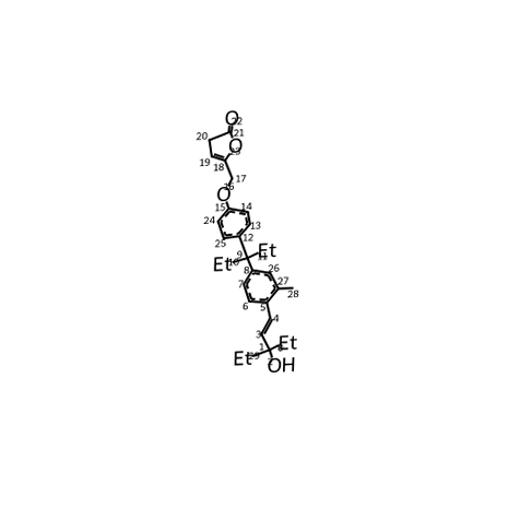 CCC(O)(C=Cc1ccc(C(CC)(CC)c2ccc(OCC3=CCC(=O)O3)cc2)cc1C)CC